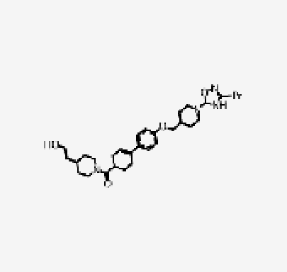 CC(C)C1=NOC(N2CCC(COc3ccc(C4=CCC(C(=O)N5CCC(CCO)CC5)CC4)cc3)CC2)N1